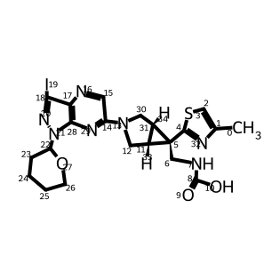 Cc1csc([C@]2(CNC(=O)O)[C@@H]3CN(c4cnc5c(I)nn(C6CCCCO6)c5n4)C[C@@H]32)n1